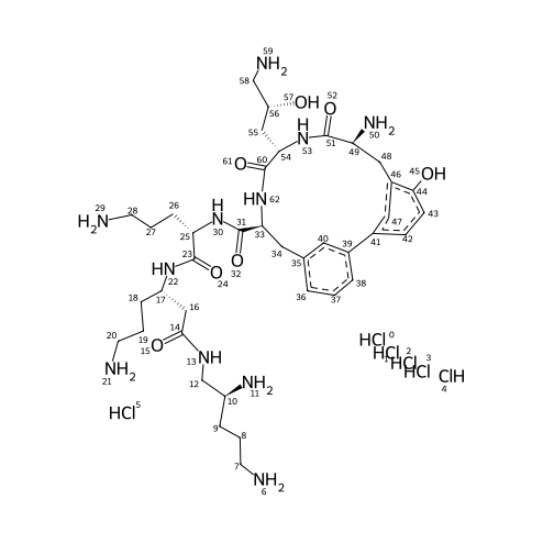 Cl.Cl.Cl.Cl.Cl.Cl.NCCC[C@H](N)CNC(=O)C[C@H](CCCN)NC(=O)[C@H](CCCN)NC(=O)[C@@H]1Cc2cccc(c2)-c2ccc(O)c(c2)C[C@H](N)C(=O)N[C@@H](C[C@@H](O)CN)C(=O)N1